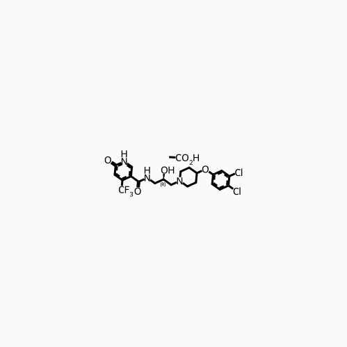 CC(=O)O.O=C(NC[C@@H](O)CN1CCC(Oc2ccc(Cl)c(Cl)c2)CC1)c1c[nH]c(=O)cc1C(F)(F)F